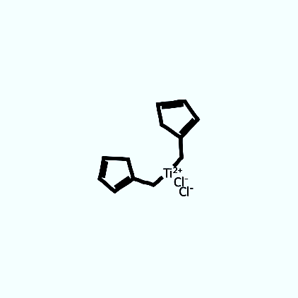 C1=CCC([CH2][Ti+2][CH2]C2=CC=CC2)=C1.[Cl-].[Cl-]